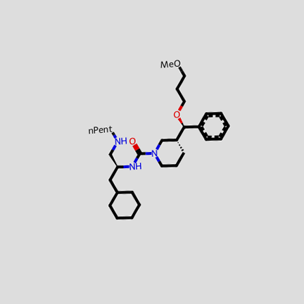 CCCCCNC[C@H](CC1CCCCC1)NC(=O)N1CCC[C@@H]([C@@H](OCCCOC)c2ccccc2)C1